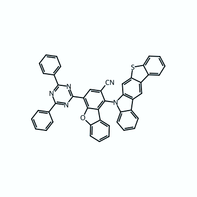 N#Cc1cc(-c2nc(-c3ccccc3)nc(-c3ccccc3)n2)c2oc3ccccc3c2c1-n1c2ccccc2c2cc3c(cc21)sc1ccccc13